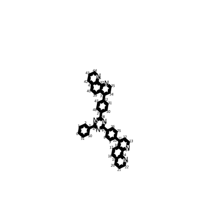 c1ccc(-c2nc(-c3ccc(-c4ccnc5c4ccc4cccnc45)cc3)nc(-c3ccc(-c4ccnc5c4ccc4cccnc45)cc3)n2)cc1